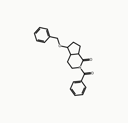 O=C(c1ccccc1)N1CCC2C(OCc3ccccc3)CCC2C1=O